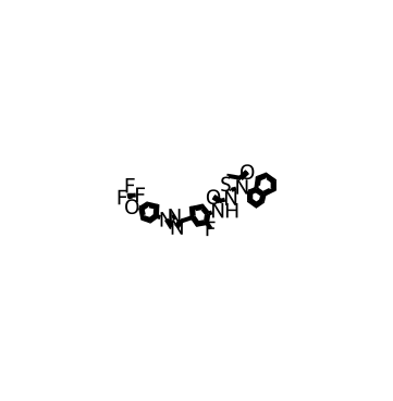 O=C(N=C1SCC(=O)N1c1cccc2ccccc12)Nc1ccc(-c2ncn(-c3ccc(OC(F)(F)F)cc3)n2)cc1F